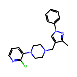 Cc1nn(-c2ccccc2)cc1CN1CCN(c2cccnc2Cl)CC1